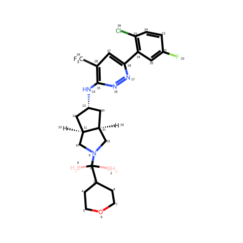 BC(B)(C1CCOCC1)N1C[C@H]2C[C@H](Nc3nnc(-c4cc(F)ccc4Cl)cc3C(F)(F)F)C[C@H]2C1